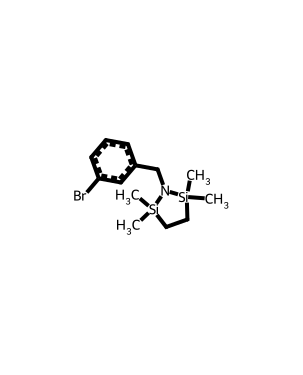 C[Si]1(C)CC[Si](C)(C)N1Cc1cccc(Br)c1